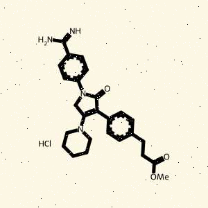 COC(=O)CCc1ccc(C2=C(N3CCCCC3)CN(c3ccc(C(=N)N)cc3)C2=O)cc1.Cl